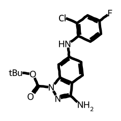 CC(C)(C)OC(=O)n1nc(N)c2ccc(Nc3ccc(F)cc3Cl)cc21